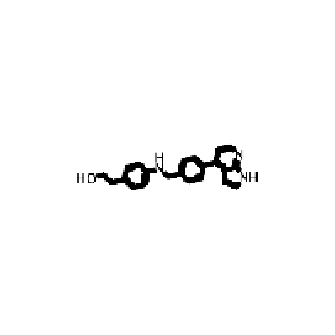 OCCc1ccc(NCc2ccc(-c3ccnc4[nH]ccc34)cc2)cc1